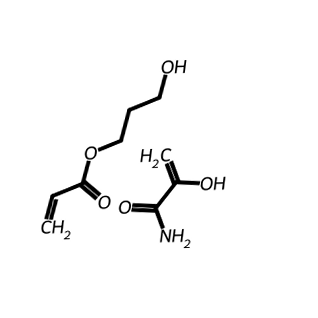 C=C(O)C(N)=O.C=CC(=O)OCCCO